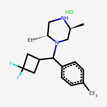 CC[C@@H]1CN[C@@H](C)CN1C(c1ccc(C(F)(F)F)cc1)C1CC(F)(F)C1.Cl